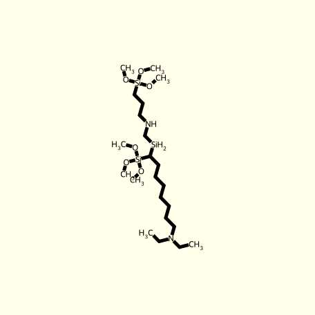 CCN(CC)CCCCCCCC([SiH2]CNCCC[Si](OC)(OC)OC)[Si](OC)(OC)OC